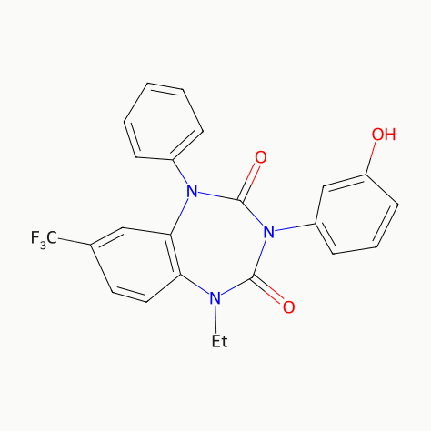 CCN1C(=O)N(c2cccc(O)c2)C(=O)N(c2ccccc2)c2cc(C(F)(F)F)ccc21